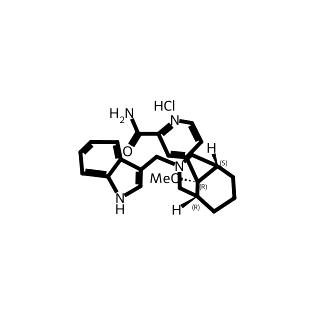 CO[C@@]1(c2ccnc(C(N)=O)c2)[C@@H]2CCC[C@H]1CN(Cc1c[nH]c3ccccc13)C2.Cl